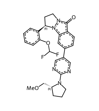 COC[C@H]1CCCN1c1ncc(-c2ccc3c(=O)n4n(c3c2)[C@@H](c2ccccc2OC(F)F)CC4)cn1